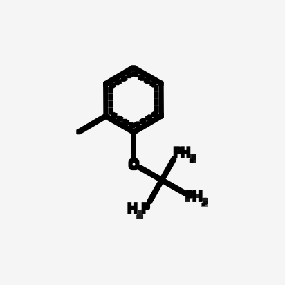 Cc1ccccc1OC(P)(P)P